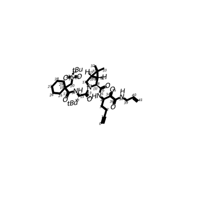 C#CCCC(NC(=O)[C@@H]1[C@@H]2[C@H](CN1C(=O)[C@@H](NC(=O)C1(CS(=O)(=O)C(C)(C)C)CCCCC1)C(C)(C)C)C2(C)C)C(=O)C(=O)NCC=C